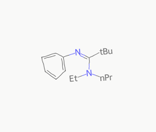 CCCN(CC)C(=Nc1ccccc1)C(C)(C)C